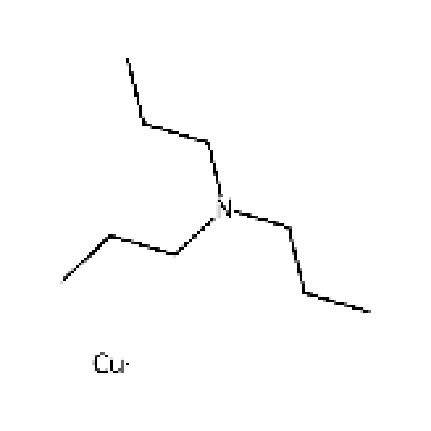 CCCN(CCC)CCC.[Cu]